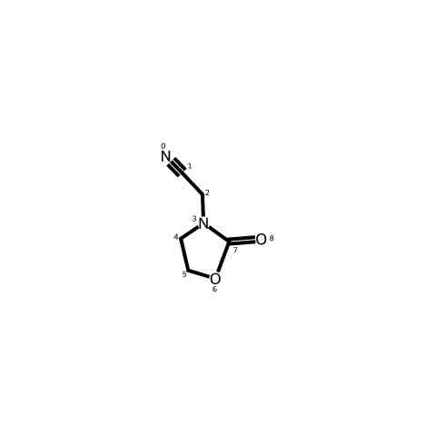 N#CCN1CCOC1=O